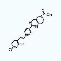 O=C(O)N1CCc2nc(-c3ccc(C=Cc4ccc(Cl)cc4F)cc3)ncc2C1